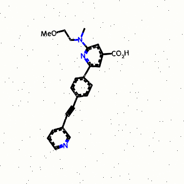 COCCN(C)c1cc(C(=O)O)cc(-c2ccc(C#Cc3cccnc3)cc2)n1